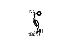 CC(C)(C)OC(=O)NCCN1CC2CN(CCCN(C#N)c3ccccc3)CC(C1)O2